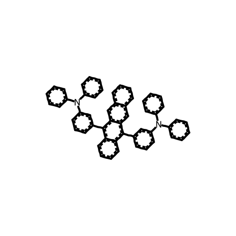 c1ccc(N(c2ccccc2)c2cccc(-c3c4ccccc4c(-c4cccc(N(c5ccccc5)c5ccccc5)c4)c4cc5ccccc5cc34)c2)cc1